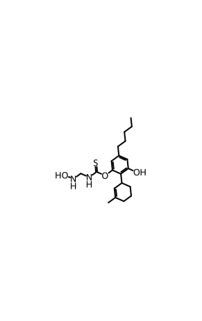 CCCCCc1cc(O)c(C2C=C(C)CCC2)c(OC(=S)NCNO)c1